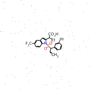 C=CC(c1cccc(C(C)C)c1)S(=O)(=O)n1c(C(CC)C(=O)O)cc2cc(C(F)(F)F)ccc21